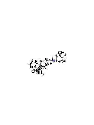 Cc1cc(F)cc(/C=C/c2nc3cc(-c4ccccc4S(N)(=O)=O)ccc3[nH]2)c1